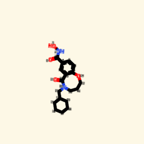 O=C(NO)c1ccc2c(c1)C(=O)N(CC1CCCCC1)CCCO2